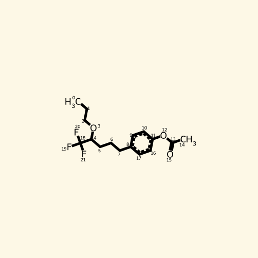 CCCOC(CCCc1ccc(OC(C)=O)cc1)C(F)(F)F